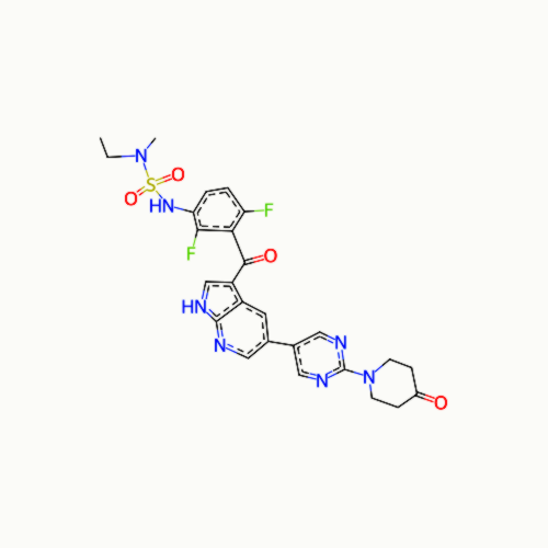 CCN(C)S(=O)(=O)Nc1ccc(F)c(C(=O)c2c[nH]c3ncc(-c4cnc(N5CCC(=O)CC5)nc4)cc23)c1F